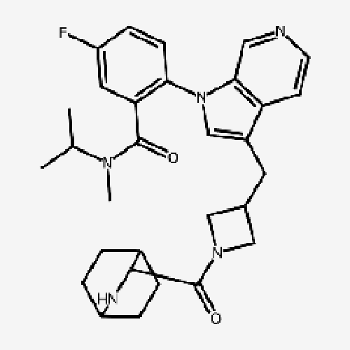 CC(C)N(C)C(=O)c1cc(F)ccc1-n1cc(CC2CN(C(=O)C3NC4CCC3CC4)C2)c2ccncc21